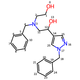 OCCN(Cc1ccccc1)CC(O)c1cnn(Cc2ccccc2)c1